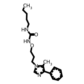 CCCCCNC(=O)NOCCCn1cnc(-c2ccccc2)c1C